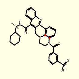 C[C@H](NC(=O)c1c(CN2CCN(C(=O)c3cncc(C(=O)O)c3)CC2)c(-c2ccccc2)nc2ccccc12)C1CCCCC1